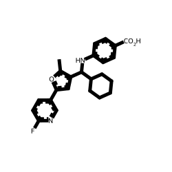 Cc1oc(-c2ccc(F)nc2)cc1C(Nc1ccc(C(=O)O)cc1)C1CCCCC1